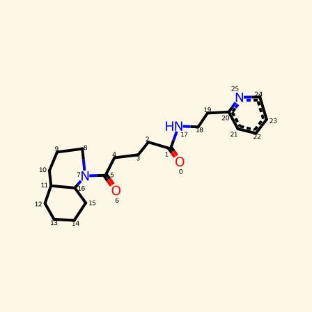 O=C(CCCC(=O)N1CCCC2CCCCC21)NCCc1ccccn1